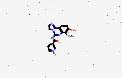 COc1c(O)ccc2c1N=C(NC(=O)c1ccc[n+]([O-])c1)N1CCN=C21